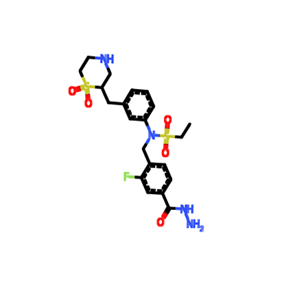 CCS(=O)(=O)N(Cc1ccc(C(=O)NN)cc1F)c1cccc(CC2CNCCS2(=O)=O)c1